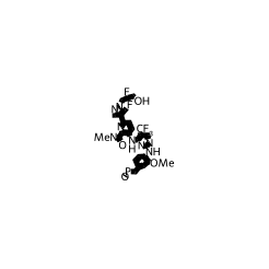 CNC(=O)c1nc(-c2cnn(CC(F)(F)CO)c2)ccc1Nc1nc(Nc2ccc(CP=O)cc2OC)ncc1C(F)(F)F